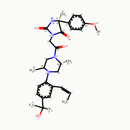 C/C=C\c1cc(C(O)(C(F)(F)F)C(F)(F)F)ccc1N1C[C@@H](C)N(C(=O)CN2C(=O)N[C@@](C)(c3ccc(OC(C)C)cc3)C2=O)CC1C